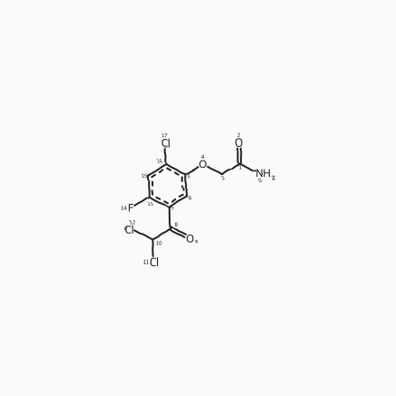 NC(=O)COc1cc(C(=O)C(Cl)Cl)c(F)cc1Cl